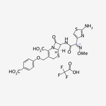 CO/N=C(\C(=O)NC1C(=O)N2C(C(=O)O)=C(COc3ccc(C(=O)O)cc3)CS[C@H]12)c1csc(N)n1.O=C(O)C(F)(F)F